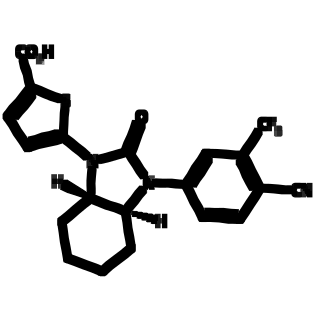 N#Cc1ccc(N2C(=O)N(c3ccc(C(=O)O)s3)[C@H]3CCCC[C@@H]32)cc1C(F)(F)F